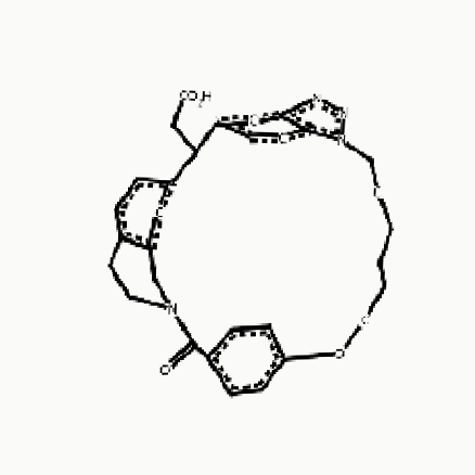 O=C(O)CC1c2ccc3c(c2)CN(CC3)C(=O)c2ccc(cc2)OCCCCCCn2nnc3cc1ccc32